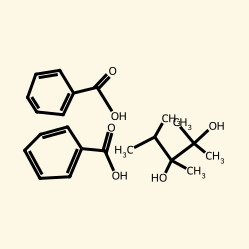 CC(C)C(C)(O)C(C)(C)O.O=C(O)c1ccccc1.O=C(O)c1ccccc1